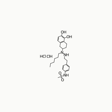 CCCCCCN(NCCc1ccc(NS(C)(=O)=O)cc1)C1CCc2c(ccc(O)c2O)C1.Cl.Cl